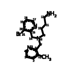 Cc1cccnc1CN(CCCCN)Cc1ncccc1Br